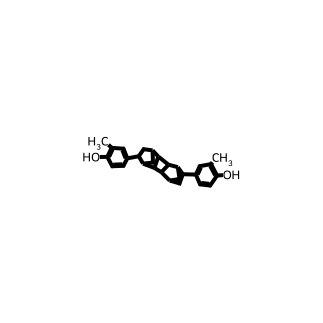 Cc1cc(C2CC3CC2C2C3C3C4CC(CC4c4ccc(O)c(C)c4)C23)ccc1O